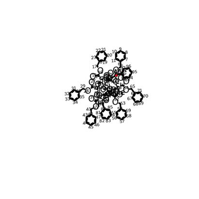 CO[Si]1(C(=O)OCc2ccccc2)O[SiH](C(=O)OCc2ccccc2)O[Si@@]2(C(=O)OCc3ccccc3)O[Si@H](C(=O)OCc3ccccc3)O[Si]3(C(=O)OCc4ccccc4)O[Si](C(=O)OCc4ccccc4)(O1)O[Si](OC)(C(=O)OCc1ccccc1)O[Si@](C(=O)OCc1ccccc1)(O3)O2